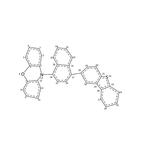 c1ccc2c(c1)Oc1ccccc1N2c1ccc(-c2ccc3sc4ccccc4c3c2)c2ccccc12